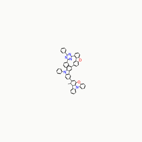 CC1C(c2ccc3c(c2)c2cc(-c4ccc5oc6cccc(-c7nc(-c8ccccc8)nc(-c8ccccc8)n7)c6c5c4)ccc2n3-c2ccccc2)=CC2=C3C1c1ccccc1N3c1ccccc1O2